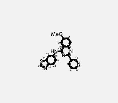 COc1ccc2nc(-c3cccnc3)nc(Nc3ccc4ncsc4c3)c2c1